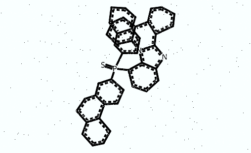 S=P(c1ccc2ccccc2c1)(c1ccc2c(ccc3ccccc32)c1)c1cccc2nc3c4ccccc4c4ccccc4n3c12